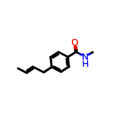 C/C=C/Cc1ccc(C(=O)NC)cc1